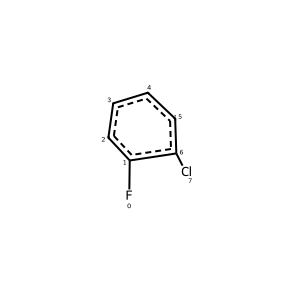 Fc1ccc[c]c1Cl